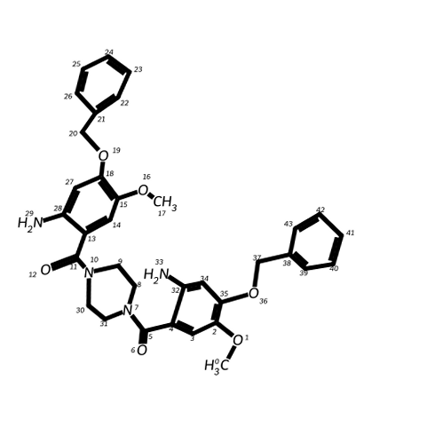 COc1cc(C(=O)N2CCN(C(=O)c3cc(OC)c(OCc4ccccc4)cc3N)CC2)c(N)cc1OCc1ccccc1